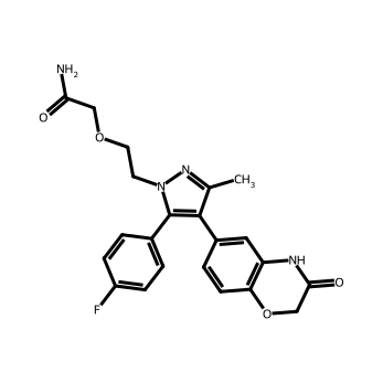 Cc1nn(CCOCC(N)=O)c(-c2ccc(F)cc2)c1-c1ccc2c(c1)NC(=O)CO2